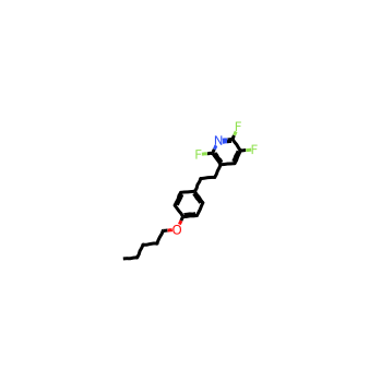 CCCCCOc1ccc(CCc2cc(F)c(F)nc2F)cc1